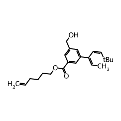 C=CCCCCOC(=O)c1cc(CO)cc(C(/C=C\C(C)(C)C)=C/C)c1